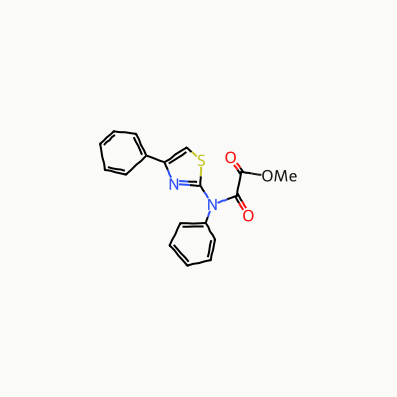 COC(=O)C(=O)N(c1ccccc1)c1nc(-c2ccccc2)cs1